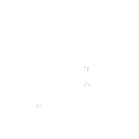 CC(C)CCCC(C1CC1)N(C)C(C)C